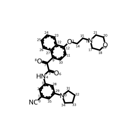 N#Cc1cc(NC(=O)C(=O)c2ccc(OCCN3CCOCC3)c3ccccc23)cc(N2CCCC2)c1